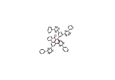 O=C(c1ccccc1-c1cc(-c2ncnc(-c3ccccc3)n2)cc(-c2ncnc(-c3ccccc3)n2)c1)c1ccccc1-c1cc(-c2ncnc(-c3ccccc3)n2)cc(-c2ncnc(-c3ccccc3)n2)c1